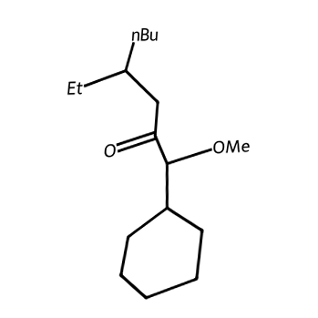 CCCCC(CC)CC(=O)C(OC)C1CCCCC1